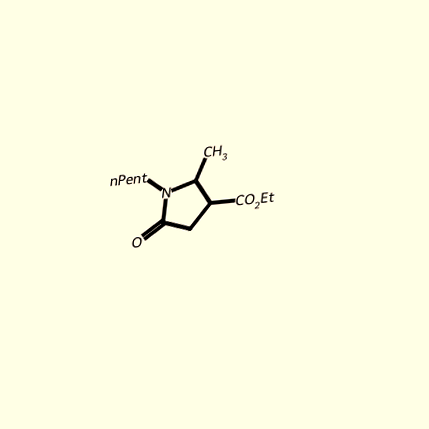 CCCCCN1C(=O)CC(C(=O)OCC)C1C